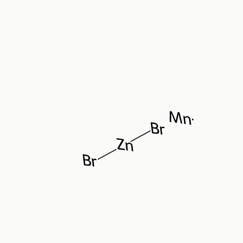 [Br][Zn][Br].[Mn]